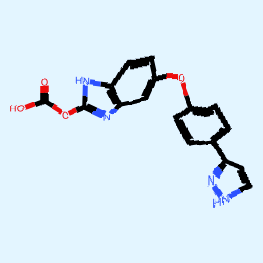 O=C(O)Oc1nc2cc(Oc3ccc(-c4cc[nH]n4)cc3)ccc2[nH]1